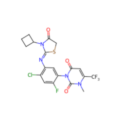 Cn1c(C(F)(F)F)cc(=O)n(-c2cc(N=C3SCC(=O)N3C3CCC3)c(Cl)cc2F)c1=O